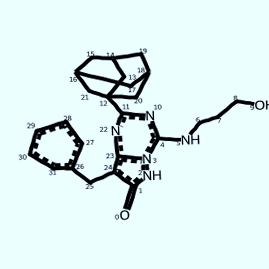 O=c1[nH]n2c(NCCCO)nc(C34CC5CC(CC(C5)C3)C4)nc2c1Cc1ccccc1